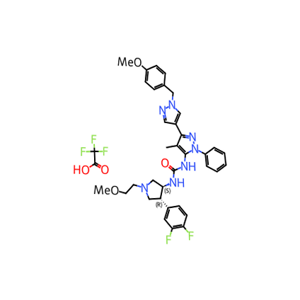 COCCN1C[C@@H](NC(=O)Nc2c(C)c(-c3cnn(Cc4ccc(OC)cc4)c3)nn2-c2ccccc2)[C@H](c2ccc(F)c(F)c2)C1.O=C(O)C(F)(F)F